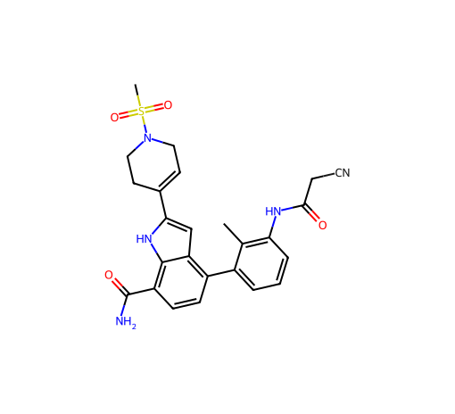 Cc1c(NC(=O)CC#N)cccc1-c1ccc(C(N)=O)c2[nH]c(C3=CCN(S(C)(=O)=O)CC3)cc12